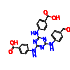 O=Cc1ccc(Nc2nc(Nc3ccc(C(=O)O)cc3)nc(Nc3ccc(C(=O)O)cc3)n2)cc1